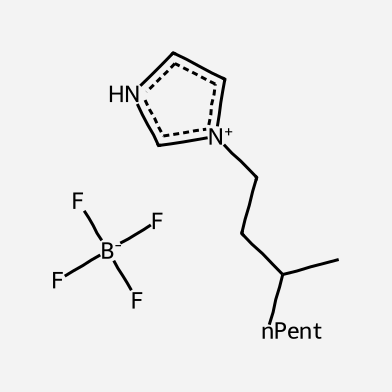 CCCCCC(C)CC[n+]1cc[nH]c1.F[B-](F)(F)F